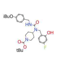 CC(C)COc1ccc(CNC(=O)N(Cc2ccc(F)cc2O)C2CCN(C(=O)OC(C)(C)C)CC2)cc1